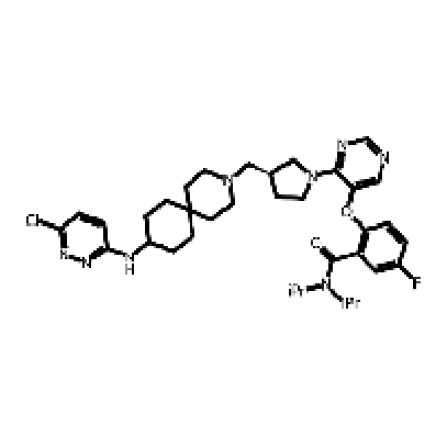 CC(C)N(C(=O)c1cc(F)ccc1Oc1cncnc1N1CC[C@@H](CN2CCC3(CCC(Nc4ccc(Cl)nn4)CC3)CC2)C1)C(C)C